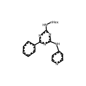 CCCCCCNc1nc(Nc2ccncc2)nc(-c2ccccc2)n1